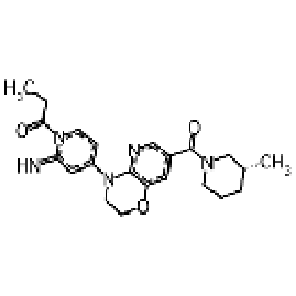 CCC(=O)n1ccc(N2CCOc3cc(C(=O)N4CCC[C@@H](C)C4)cnc32)cc1=N